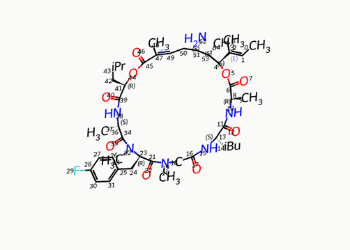 C/C=C(\C)[C@H]1OC(=O)[C@@H](C)NC(=O)[C@H](C(C)CC)NC(=O)CN(C)C(=O)[C@@H](Cc2ccc(F)cc2)N(C)C(=O)[C@H](C)NC(=O)[C@@H](CC(C)C)OC(=O)/C(C)=C/C[C@H](N)[C@@H]1C